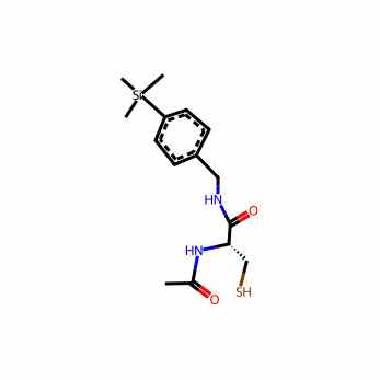 CC(=O)N[C@@H](CS)C(=O)NCc1ccc([Si](C)(C)C)cc1